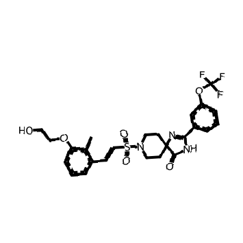 Cc1c(C=CS(=O)(=O)N2CCC3(CC2)N=C(c2cccc(OC(F)(F)F)c2)NC3=O)cccc1OCCO